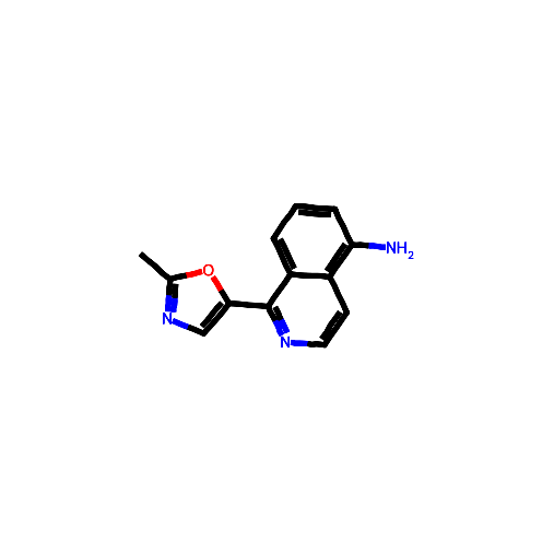 Cc1ncc(-c2nccc3c(N)cccc23)o1